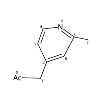 CC(=O)Cc1ccnc(C)c1